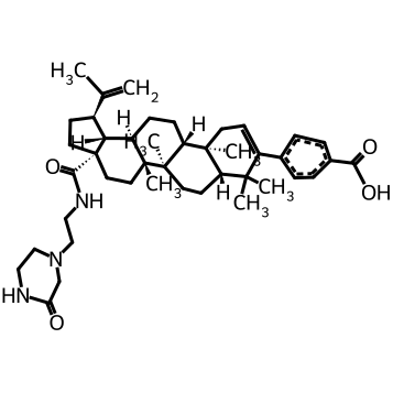 C=C(C)[C@@H]1CC[C@]2(C(=O)NCCN3CCNC(=O)C3)CC[C@]3(C)[C@H](CC[C@@H]4[C@@]5(C)CC=C(c6ccc(C(=O)O)cc6)C(C)(C)[C@@H]5CC[C@]43C)[C@@H]12